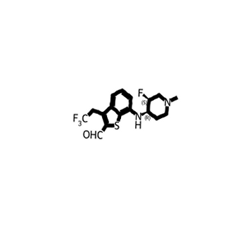 CN1CC[C@@H](Nc2cccc3c(CC(F)(F)F)c(C=O)sc23)[C@@H](F)C1